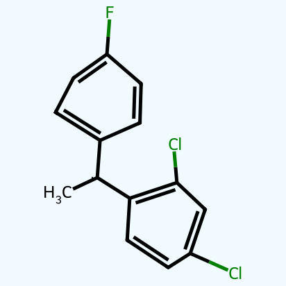 C[C](c1ccc(F)cc1)c1ccc(Cl)cc1Cl